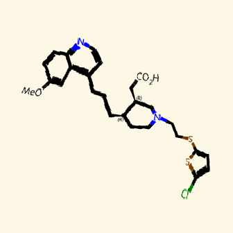 COc1ccc2nccc(CCC[C@@H]3CCN(CCSc4ccc(Cl)s4)C[C@@H]3CC(=O)O)c2c1